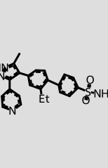 CCc1cc(-c2c(-c3ccncc3)n[nH]c2C)ccc1-c1ccc(S(N)(=O)=O)cc1